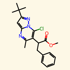 COC(=O)C(Cc1ccccc1)c1c(C)nc2cc(C(C)(C)C)nn2c1Cl